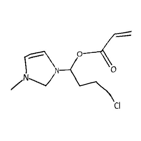 C=CC(=O)OC(CCCl)N1C=CN(C)C1